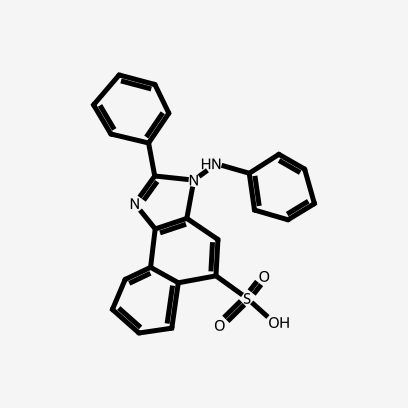 O=S(=O)(O)c1cc2c(nc(-c3ccccc3)n2Nc2ccccc2)c2ccccc12